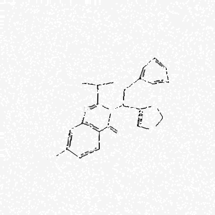 CC(C)c1nc2cc(O)ccc2c(=O)n1C(Cc1ccccc1)C1=COCO1